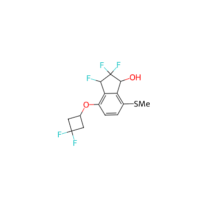 CSc1ccc(OC2CC(F)(F)C2)c2c1C(O)C(F)(F)C2F